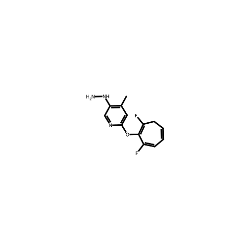 Cc1cc(OC2=C(F)CC=CC=C2F)ncc1NN